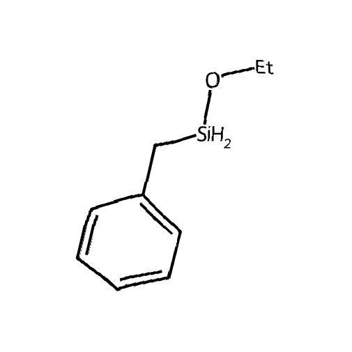 CCO[SiH2]Cc1ccccc1